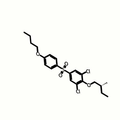 CCCCOc1ccc(S(=O)(=O)c2cc(Cl)c(OC[C@H](C)CC)c(Cl)c2)cc1